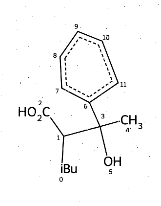 CCC(C)C(C(=O)O)C(C)(O)c1ccccc1